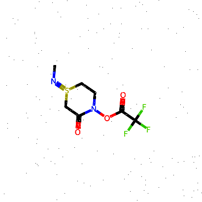 CN=S1CCN(OC(=O)C(F)(F)F)C(=O)C1